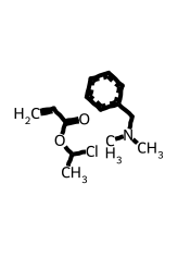 C=CC(=O)OC(C)Cl.CN(C)Cc1ccccc1